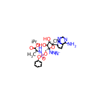 CC(C)OC(=O)[C@@H](C)NP(=O)(OC[C@@]1(N=[N+]=[N-])O[C@@](C#N)(c2ccc3c(N)ncnn23)[C@H](O)[C@@H]1O)Oc1ccccc1